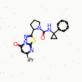 CC(C)c1cc(=O)n2nc(C3CCCN3C(=O)NC3(c4ccccc4)CC3)sc2n1